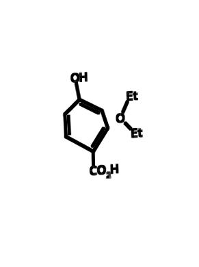 CCOCC.O=C(O)c1ccc(O)cc1